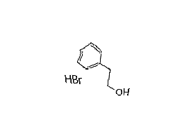 Br.OCCc1ccccc1